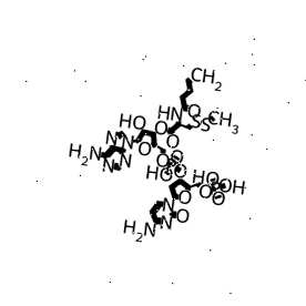 C=CCCC(=O)N[C@@H](CSSC)C(=O)O[C@H]1[C@@H](O)[C@H](n2cnc3c(N)ncnc32)O[C@@H]1COP(=O)(O)O[C@H]1C[C@H](n2ccc(N)nc2=O)O[C@@H]1COP(=O)(O)O